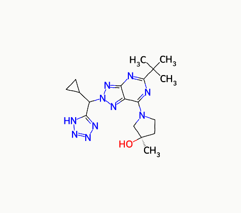 CC(C)(C)c1nc(N2CC[C@@](C)(O)C2)c2nn(C(c3nnn[nH]3)C3CC3)nc2n1